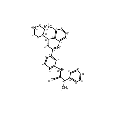 COc1cncc2nc(-c3ccnc(NC(=O)[C@@H](C)c4ccccc4)c3)nc(N3CCNCC3)c12